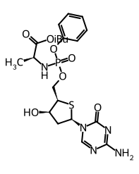 CC(C)COC(=O)[C@H](C)NP(=O)(OC[C@H]1S[C@@H](n2cnc(N)nc2=O)C[C@H]1O)Oc1ccccc1